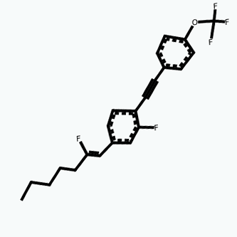 CCCCCC(F)=Cc1ccc(C#Cc2ccc(OC(F)(F)F)cc2)c(F)c1